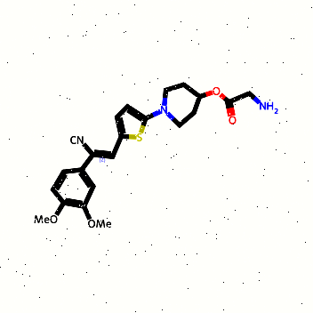 [C-]#[N+]/C(=C\c1ccc(N2CCC(OC(=O)CN)CC2)s1)c1ccc(OC)c(OC)c1